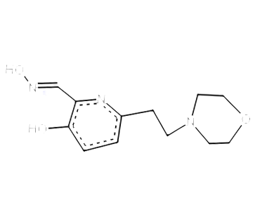 O/N=C/c1nc(CCN2CCOCC2)ccc1O